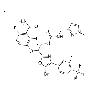 Cn1ccc(CNC(=O)OCC(Oc2ccc(F)c(C(N)=O)c2F)c2nc(-c3ccc(C(F)(F)F)cc3)c(Br)o2)n1